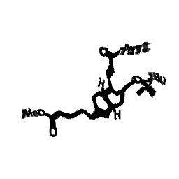 CCCCCC(=O)C=CC1C(O[Si](C)(C)C(C)(C)C)C[C@H]2C=C(CCCCC(=O)OC)C[C@H]12